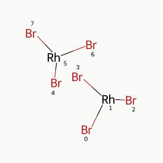 [Br][Rh]([Br])[Br].[Br][Rh]([Br])[Br]